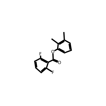 Cc1cccc(OC(=O)c2c(F)cccc2F)c1C